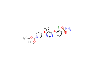 Cc1c(Oc2cccc(S(N)(=O)=O)c2F)ncnc1OC1CCN(C(=O)OC(C)C)CC1